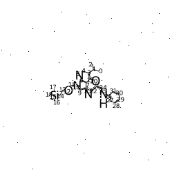 CC(C)c1cnc2c(ccn2COCC[Si](C)(C)C)c1O/C(C#N)=C/Nc1ccccc1